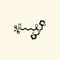 CS(=O)(=O)NCCCC[CH]C(=O)N(Cc1cccs1)Cc1cccs1